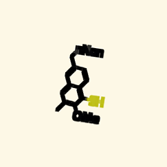 CCCCCCCCCCc1ccc2c(S)c(OC)c(C)cc2c1